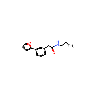 CCCNC(=O)Cc1cccc(-c2ccco2)c1